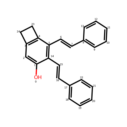 Oc1cc2c(c(C=Cc3ccccc3)c1C=Cc1ccccc1)CC2